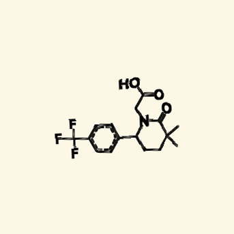 CC1(C)CCC(c2ccc(C(F)(F)F)cc2)N(CC(=O)O)C1=O